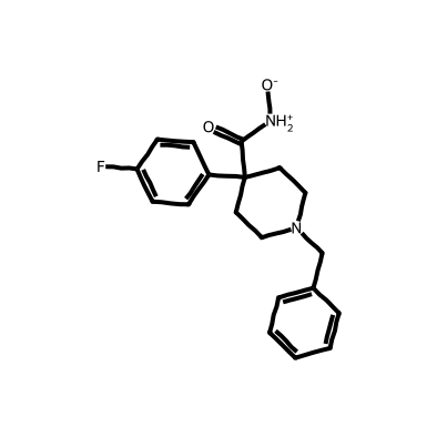 O=C([NH2+][O-])C1(c2ccc(F)cc2)CCN(Cc2ccccc2)CC1